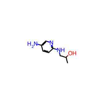 CC(O)CNc1ccc(N)cn1